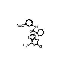 COc1cccc(NC(=O)C2(n3cnc4c(N)nc(Cl)nc43)CCCCC2)c1